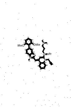 C#CCN1C(N(CCC)CCCN(C)C)=CC(=Cc2sc3cc(-c4c(OC)cccc4OC)ccc3[n+]2C)c2ccccc21